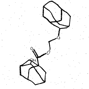 O=C(OCOC1C2CC3CC(C2)CC1C3)C12CC3CC(C1)C(O)C(C3)C2